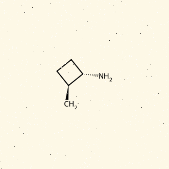 [CH2][C@H]1CC[C@@H]1N